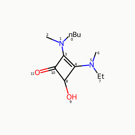 CCCCN(C)C1=C(N(C)CC)C(O)C1=O